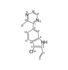 C=Cc1[nH]c2cc(-c3nccnc3C)ccc2c1Cl